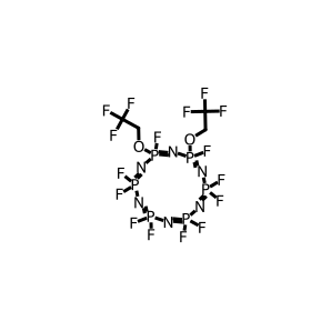 FC(F)(F)COP1(F)=NP(F)(F)=NP(F)(F)=NP(F)(F)=NP(F)(F)=NP(F)(OCC(F)(F)F)=N1